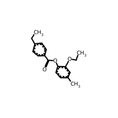 CCOc1cc(C)ccc1OC(=O)c1ccc(CC)cc1